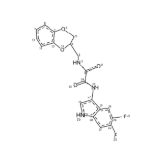 O=C(NCC1COc2ccccc2O1)C(=O)Nc1c[nH]c2cc(F)c(F)cc12